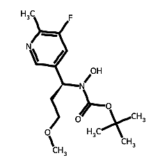 COCC[C@@H](c1cnc(C)c(F)c1)N(O)C(=O)OC(C)(C)C